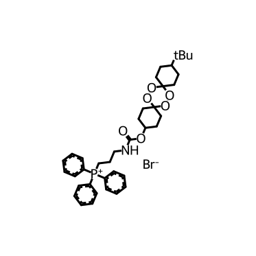 CC(C)(C)C1CCC2(CC1)OOC1(CCC(OC(=O)NCCC[P+](c3ccccc3)(c3ccccc3)c3ccccc3)CC1)OO2.[Br-]